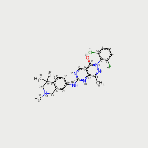 Cc1nn(-c2c(F)cccc2Cl)c(=O)c2cnc(Nc3ccc4c(c3)CN(C)CC4(C)C)nc12